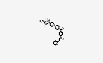 NC(=O)NS(=O)(=O)C1CCN(N2CCN(C(=O)c3ccc(C(=O)/C=C/c4ccccn4)cc3)CC2)CC1